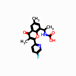 Cc1cc(C(C)NC(=O)O)c2oc(-c3ccc(F)cn3)c(C)c(=O)c2c1